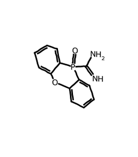 N=C(N)P1(=O)c2ccccc2Oc2ccccc21